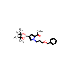 COC(=O)c1cc(B2OC(C)(C)C(C)(C)O2)cn1CCCOCc1ccccc1